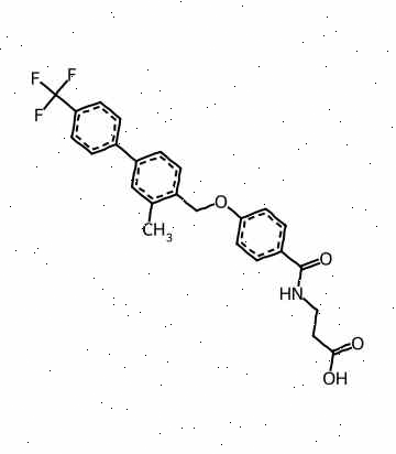 Cc1cc(-c2ccc(C(F)(F)F)cc2)ccc1COc1ccc(C(=O)NCCC(=O)O)cc1